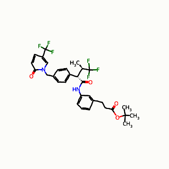 C[C@H]([C@H](C(=O)Nc1cccc(CCC(=O)OC(C)(C)C)c1)c1ccc(Cn2cc(C(F)(F)F)ccc2=O)cc1)C(F)(F)F